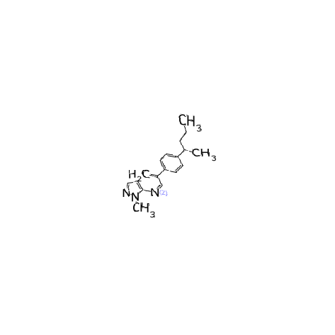 C=C(/C=N\c1ccnn1C)c1ccc(C(C)CCC)cc1